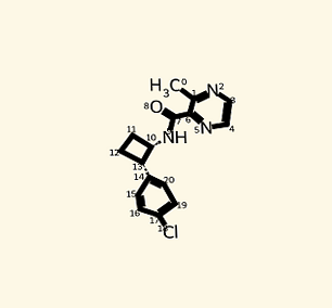 Cc1nccnc1C(=O)N[C@H]1CC[C@H]1c1ccc(Cl)cc1